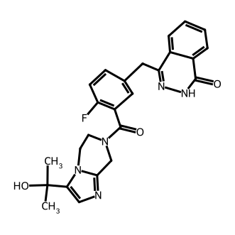 CC(C)(O)c1cnc2n1CCN(C(=O)c1cc(Cc3n[nH]c(=O)c4ccccc34)ccc1F)C2